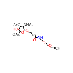 C#CCOCCOCCNC(=O)CCCCOC1OC(OC(C)=O)C(O)C(OC(C)=O)C1NC(C)=O